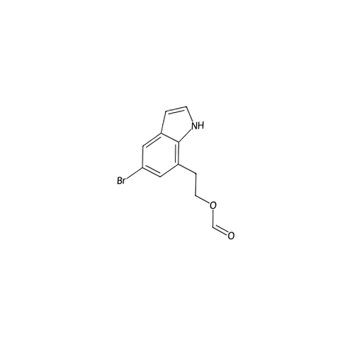 O=COCCc1cc(Br)cc2cc[nH]c12